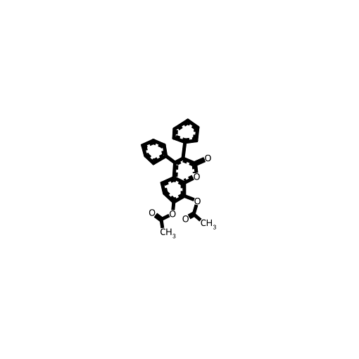 CC(=O)Oc1ccc2c(-c3ccccc3)c(-c3ccccc3)c(=O)oc2c1OC(C)=O